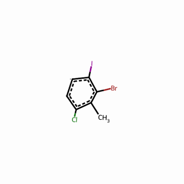 Cc1c(Cl)c[c]c(I)c1Br